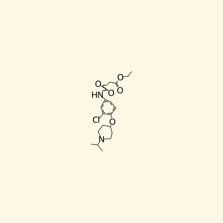 CCOC(=O)CS(=O)(=O)Nc1ccc(OC2CCN(C(C)C)CC2)c(Cl)c1